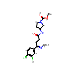 CO/N=C(\CCC(=O)NC1CCN(C(=O)OC(C)(C)C)C1)c1ccc(Cl)c(Cl)c1